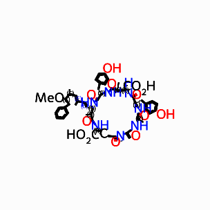 C=C1C(=O)N[C@H](C)C(=O)N[C@@H](Cc2ccc(O)cc2)C(=O)N[C@@H](C(=O)O)[C@H](C)C(=O)N[C@@H](Cc2ccc(O)cc2)C(=O)N[C@@H](/C=C/C(C)=C/[C@H](C)[C@H](Cc2ccccc2)OC)[C@H](C)C(=O)N[C@@H](C(=O)O)CCC(=O)N1C